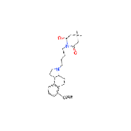 COc1cccc2c1CCC1C2CCN1CCCCN1C(=O)CC(C)(C)CC1=O